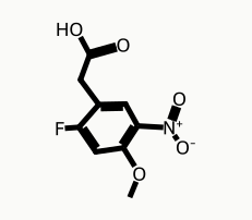 COc1cc(F)c(CC(=O)O)cc1[N+](=O)[O-]